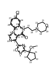 COC1(c2noc(-c3ncn4c3c(=O)n(CCN3CCOCC3)c3cc(Cl)ccc34)n2)CCCC1